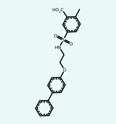 Cc1ccc(S(=O)(=O)NCCOc2ccc(-c3ccccc3)cc2)cc1C(=O)O